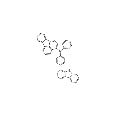 c1ccc2c(c1)-c1cccc3c1c-2cc1c2ccccc2n(-c2ccc(-c4cccc5c4sc4ccccc45)cc2)c31